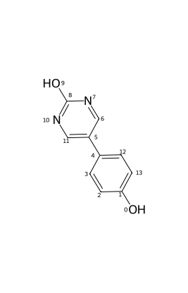 Oc1ccc(-c2cnc(O)nc2)cc1